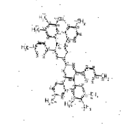 Cc1ccc(C2=CC(=C3C=C(c4ccc(C)cc4)N(c4cc(C)c(C)c(C)c4)C(c4ccc(C)cc4)=C3)C=C(c3ccc(C)cc3)N2c2cc(C)c(C)c(C)c2)cc1